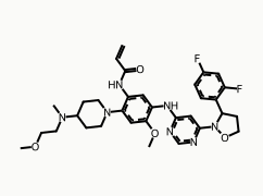 C=CC(=O)Nc1cc(Nc2cc(N3OCCC3c3ccc(F)cc3F)ncn2)c(OC)cc1N1CCC(N(C)CCOC)CC1